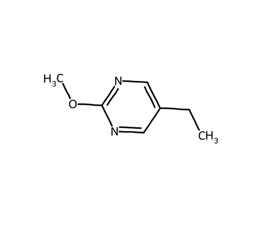 CCc1cnc(OC)nc1